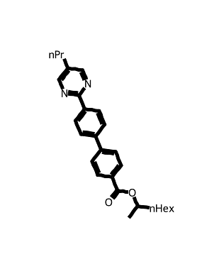 CCCCCCC(C)OC(=O)c1ccc(-c2ccc(-c3ncc(CCC)cn3)cc2)cc1